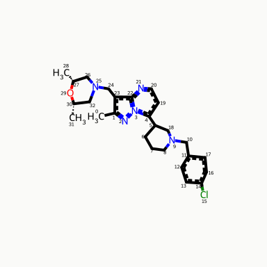 Cc1nn2c(C3CCCN(Cc4ccc(Cl)cc4)C3)ccnc2c1CN1C[C@@H](C)O[C@@H](C)C1